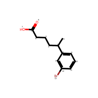 CC(CCCC(=O)O)c1cccc(Br)c1